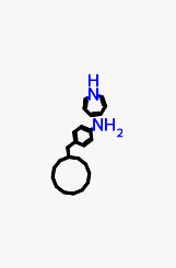 C1=CC=CNC=C1.Nc1ccc(CC2CCCCCCCCCCC2)cc1